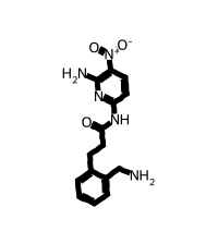 NCc1ccccc1CCC(=O)Nc1ccc([N+](=O)[O-])c(N)n1